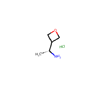 C[C@@H](N)C1COC1.Cl